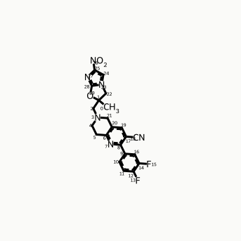 CC1(CN2CCc3nc(-c4ccc(F)c(F)c4)c(C#N)cc3C2)Cn2cc([N+](=O)[O-])nc2O1